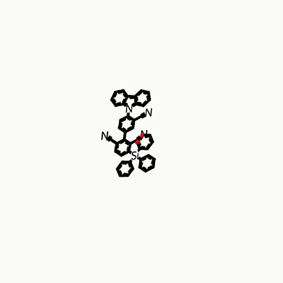 N#Cc1cc(-c2c(C#N)ccc([Si](c3ccccc3)(c3ccccc3)c3ccccc3)c2C#N)ccc1-n1c2ccccc2c2ccccc21